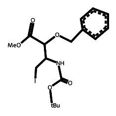 COC(=O)C(OCc1ccccc1)C(CI)NC(=O)OC(C)(C)C